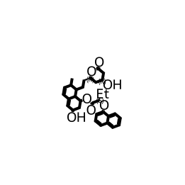 CC[C@H](Oc1cccc2ccccc12)C(=O)OC1CC(O)C=C2C=CC(C)C(CC[C@@H]3C[C@@H](O)CC(=O)O3)C21